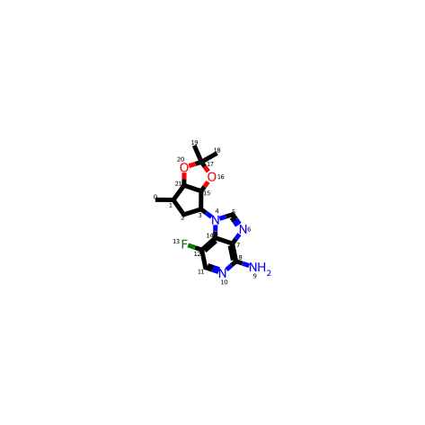 CC1CC(n2cnc3c(N)ncc(F)c32)C2OC(C)(C)OC12